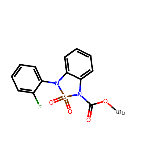 CC(C)(C)OC(=O)N1c2ccccc2N(c2ccccc2F)S1(=O)=O